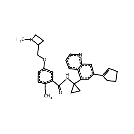 Cc1ccc(OCC2CCN2C)cc1C(=O)NC1(c2cc(C3=CCCC3)cc3ncccc23)CC1